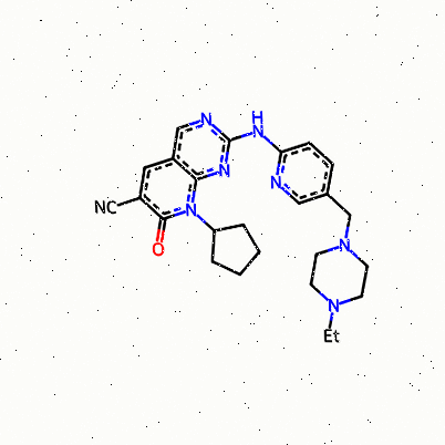 CCN1CCN(Cc2ccc(Nc3ncc4cc(C#N)c(=O)n(C5CCCC5)c4n3)nc2)CC1